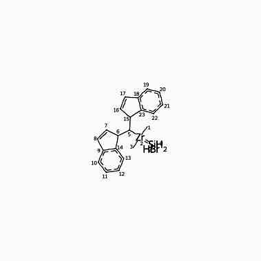 Br.[CH3][Zr]([CH3])(=[SiH2])[CH](C1C=Cc2ccccc21)C1C=Cc2ccccc21